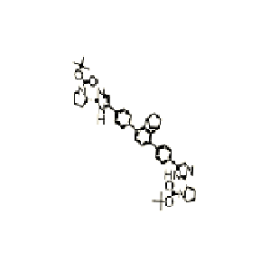 CC(C)(C)OC(=O)N1CCC[C@H]1c1ncc(-c2ccc(-c3ccc(-c4ccc(-c5cnc([C@@H]6CCCN6C(=O)OC(C)(C)C)[nH]5)cc4)c4c3C3CCC4C3)cc2)[nH]1